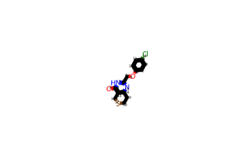 O=c1[nH]c(COc2ccc(Cl)cc2)nc2c1CSCC2